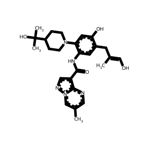 C/C(=C\O)Cc1cc(NC(=O)c2cnn3cc(C)cnc23)c(N2CCC(C(C)(C)O)CC2)cc1O